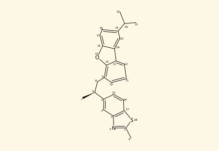 Cc1nc2cc([C@@H](C)Cc3cccc4c3oc3ccc(C(C)C)cc34)ccc2s1